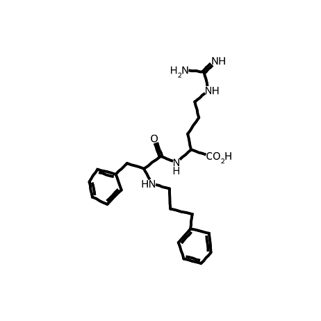 N=C(N)NCCCC(NC(=O)C(Cc1ccccc1)NCCCc1ccccc1)C(=O)O